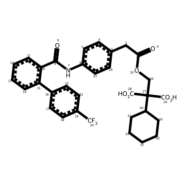 O=C(Cc1ccc(NC(=O)c2ccccc2-c2ccc(C(F)(F)F)cc2)cc1)OCC(C(=O)O)(C(=O)O)C1CCCCC1